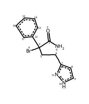 NC(=O)C(Br)(CCc1cc[nH]n1)c1ccccc1